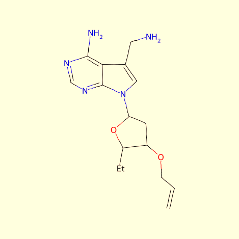 C=CCOC1CC(n2cc(CN)c3c(N)ncnc32)OC1CC